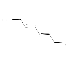 CCCCCC[C@@H](O)CC=CCC(=O)O